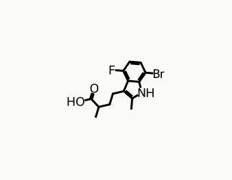 Cc1[nH]c2c(Br)ccc(F)c2c1CCC(C)C(=O)O